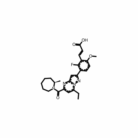 CCc1cc(C(=O)N2CCCCC[C@H]2C)nc2cc(-c3ccc(OC)c(/C=C/C(=O)O)c3F)nn12